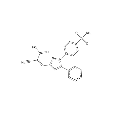 N#CC(=Cc1cc(-c2ccccc2)n(-c2ccc(S(N)(=O)=O)cc2)n1)C(=O)O